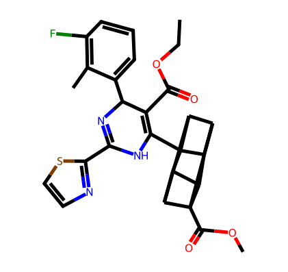 CCOC(=O)C1=C(C23C4C5C2C2C3C4C52C(=O)OC)NC(c2nccs2)=NC1c1cccc(F)c1C